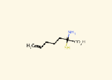 C=CCCC[C@](N)(S)C(=O)O